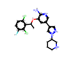 CC(Oc1cc(-c2cnn(C3CCCNC3)c2)cnc1N)c1c(Cl)ccc(F)c1Cl